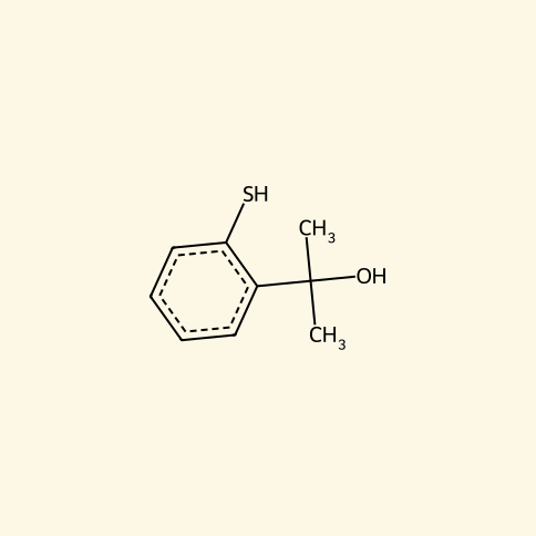 CC(C)(O)c1ccccc1S